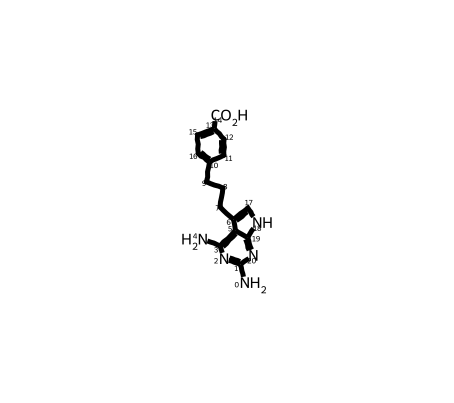 Nc1nc(N)c2c(CCCc3ccc(C(=O)O)cc3)c[nH]c2n1